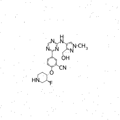 Cn1cc(Nc2ncnc(-c3ccc(O[C@H]4CCNC[C@@H]4F)c(C#N)c3)n2)c(CO)n1